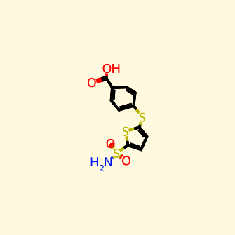 NS(=O)(=O)c1ccc(Sc2ccc(C(=O)O)cc2)s1